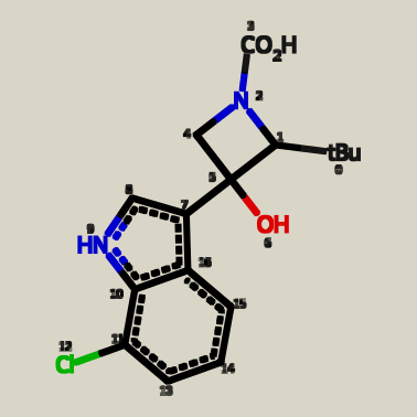 CC(C)(C)C1N(C(=O)O)CC1(O)c1c[nH]c2c(Cl)cccc12